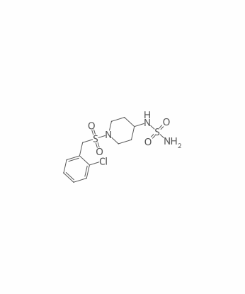 NS(=O)(=O)NC1CCN(S(=O)(=O)Cc2ccccc2Cl)CC1